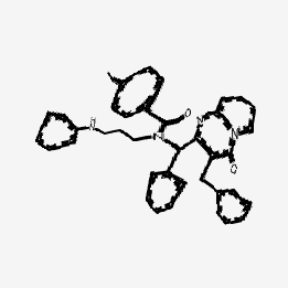 Cc1ccc(C(=O)N(CCCNc2ccccc2)C(c2ccccc2)c2nc3ccccn3c(=O)c2Cc2ccccc2)cc1